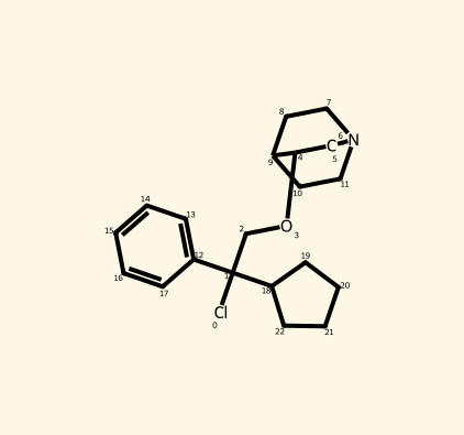 ClC(COC1CN2CCC1CC2)(c1ccccc1)C1CCCC1